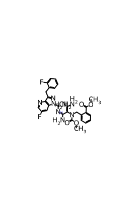 C=C(/N=C(/N)C(=C(N)N)N(Cc1ccccc1C(=O)OC)C(=O)OC)n1nc(Cc2ccccc2F)c2ncc(F)cc21